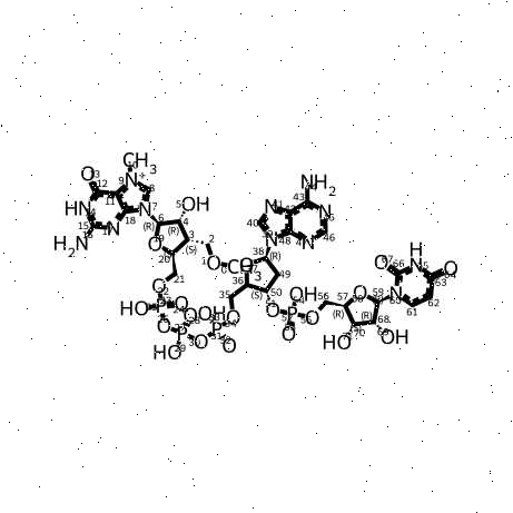 COC[C@H]1[C@@H](O)[C@H](n2c[n+](C)c3c(=O)[nH]c(N)nc32)O[C@@H]1COP(=O)(O)OP(=O)(O)OP(=O)(O)OCC1O[C@@H](n2cnc3c(N)ncnc32)C[C@@H]1OP(=O)(O)OC[C@H]1O[C@@H](n2ccc(=O)[nH]c2=O)[C@H](O)[C@@H]1O